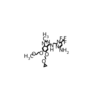 COCCOc1cc2nc(C)nc(NCc3nc(N)cc(C(F)(F)F)n3)c2cc1OCCOC1CC1